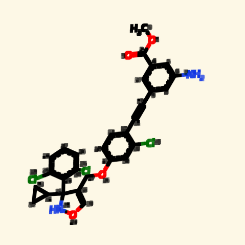 COC(=O)c1cc(N)cc(C#Cc2ccc(OCC3=CONC3(c3c(Cl)cccc3Cl)C3CC3)cc2Cl)c1